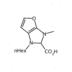 CCCCCCN1c2ccoc2N(C)C1C(=O)O